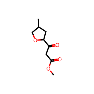 COC(=O)CC(=O)C1CC(C)CO1